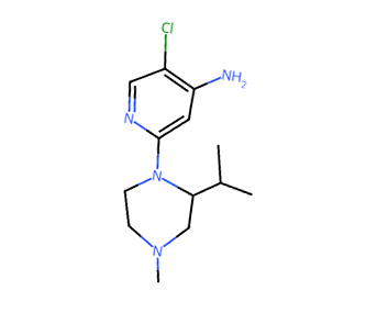 CC(C)C1CN(C)CCN1c1cc(N)c(Cl)cn1